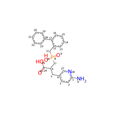 Nc1ccc(CC(CP(=O)(O)Cc2ccccc2-c2ccccc2)C(=O)O)cn1